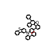 C1=c2sc3ccccc3c2=CC(N(c2ccc(-c3cccc4oc5cc(-c6ccccc6)c6ccccc6c5c34)cc2)c2ccccc2-c2ccccc2)C1